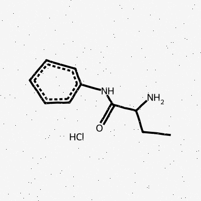 CCC(N)C(=O)Nc1ccccc1.Cl